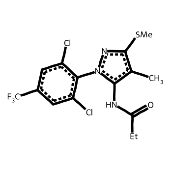 CCC(=O)Nc1c(C)c(SC)nn1-c1c(Cl)cc(C(F)(F)F)cc1Cl